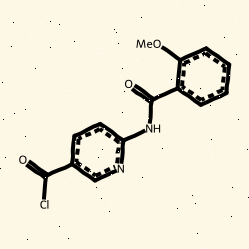 COc1ccccc1C(=O)Nc1ccc(C(=O)Cl)cn1